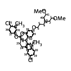 COCCN(CCCOc1ccc(C2c3c(c4cc(Cl)ccc4n3C)CCN2C(=O)OC2=C[C@H](C)C(Cl)C=C2)cc1)CCOC